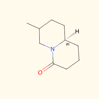 CC1CC[C@H]2CCCC(=O)N2C1